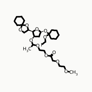 COCCOCC(=O)OCCOC(C)O[C@@H]1C[C@@H](OC2(OCI)CCCCC2)O[C@@H]1C1COC2(CCCCC2)O1